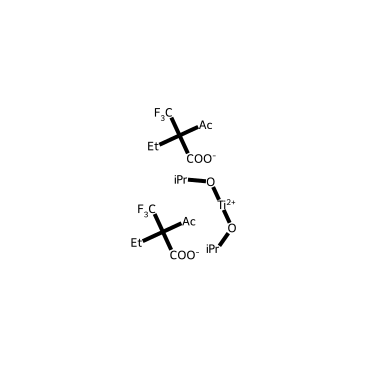 CC(C)[O][Ti+2][O]C(C)C.CCC(C(C)=O)(C(=O)[O-])C(F)(F)F.CCC(C(C)=O)(C(=O)[O-])C(F)(F)F